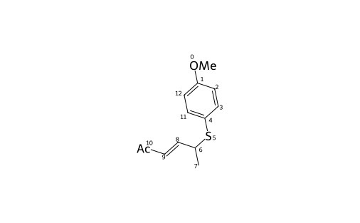 COc1ccc(SC(C)C=CC(C)=O)cc1